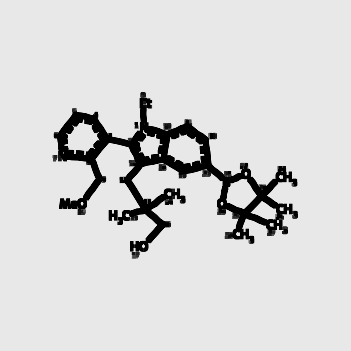 CCn1c(-c2cccnc2COC)c(CC(C)(C)CO)c2cc(B3OC(C)(C)C(C)(C)O3)ccc21